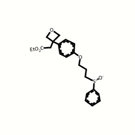 CCOC(=O)CC1(c2ccc(OCCC[S+]([O-])c3ccccc3)cc2)COC1